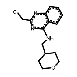 ClCc1nc(NCC2CCOCC2)c2ccccc2n1